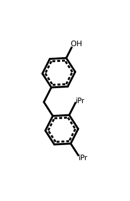 CC(C)c1ccc(Cc2ccc(O)cc2)c(C(C)C)c1